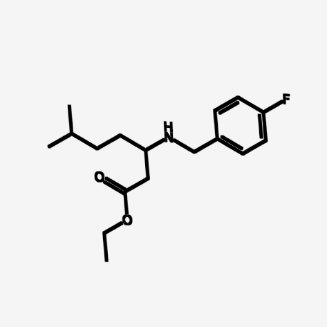 CCOC(=O)CC(CCC(C)C)NCc1ccc(F)cc1